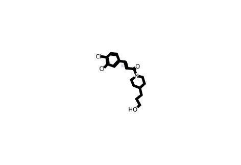 O=C(/C=C/c1ccc(Cl)c(Cl)c1)N1CCC(CCCO)CC1